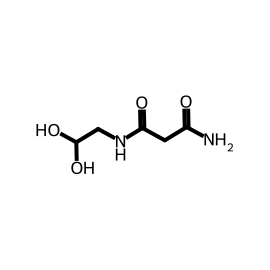 NC(=O)CC(=O)NCC(O)O